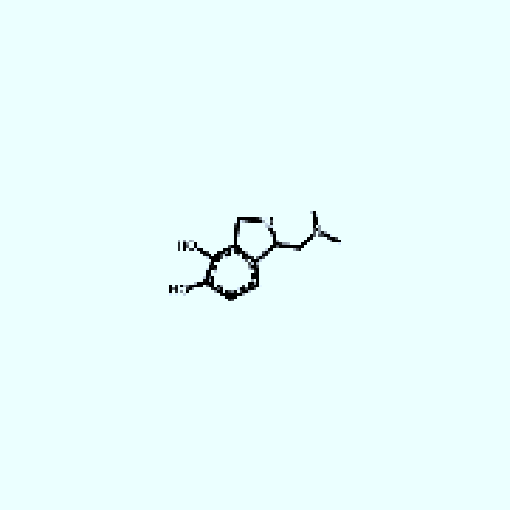 CN(C)CC1OCc2c1ccc(O)c2O